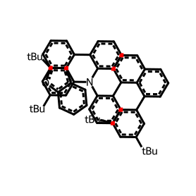 CC(C)(C)c1cc(-c2cccc3cccc(-c4ccccc4N(c4cc(C(C)(C)C)cc(C(C)(C)C)c4)c4ccccc4-c4cccc5oc6ccccc6c45)c23)cc(C(C)(C)C)c1